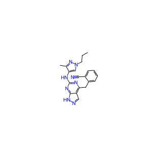 CCCn1cc(Nc2nc(Cc3ccccc3C#N)c3cn[nH]c3n2)c(C)n1